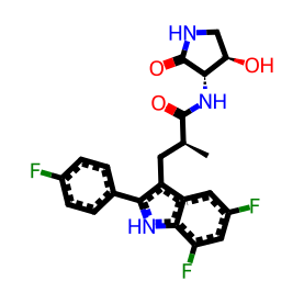 C[C@@H](Cc1c(-c2ccc(F)cc2)[nH]c2c(F)cc(F)cc12)C(=O)N[C@@H]1C(=O)NC[C@H]1O